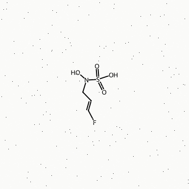 O=S(=O)(O)N(O)CC=CF